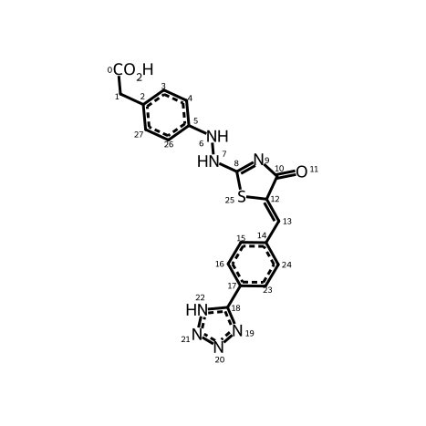 O=C(O)Cc1ccc(NNC2=NC(=O)/C(=C/c3ccc(-c4nnn[nH]4)cc3)S2)cc1